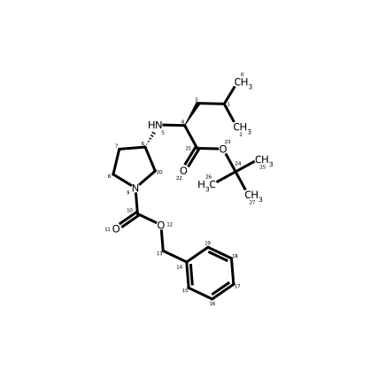 CC(C)C[C@H](N[C@H]1CCN(C(=O)OCc2ccccc2)C1)C(=O)OC(C)(C)C